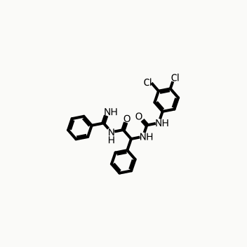 N=C(NC(=O)C(NC(=O)Nc1ccc(Cl)c(Cl)c1)c1ccccc1)c1ccccc1